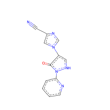 N#Cc1cn(-c2c[nH]n(-c3ccccn3)c2=O)cn1